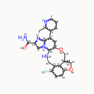 Cc1ncccc1-c1cc2c(n3cc(C(N)=O)nc13)NCc1c(F)ccc3c1[C@H](CO3)CO2